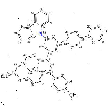 Cc1ccc(-c2cc(-c3cc(-c4ccc(-c5ccccc5)cc4)cc(-n4c5ccccc5c5ccccc54)c3)c3ccc4cc(C(C)(C)C)cc5ccc2c3c54)cc1